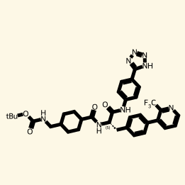 CC(C)(C)OC(=O)NCC1CCC(C(=O)N[C@@H](Cc2ccc(-c3cccnc3C(F)(F)F)cc2)C(=O)Nc2ccc(-c3nnn[nH]3)cc2)CC1